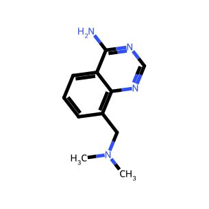 CN(C)Cc1cccc2c(N)ncnc12